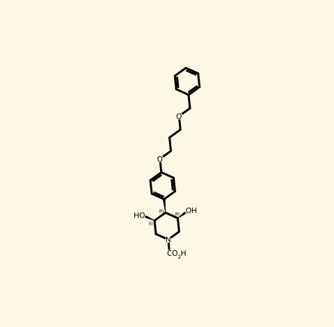 O=C(O)N1C[C@@H](O)[C@@H](c2ccc(OCCCOCc3ccccc3)cc2)[C@@H](O)C1